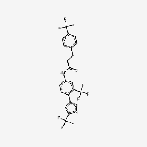 O=C(CCc1ccc(C(F)(F)F)cc1)Nc1ccc(-n2cnc(C(F)(F)F)c2)c(C(F)(F)F)c1